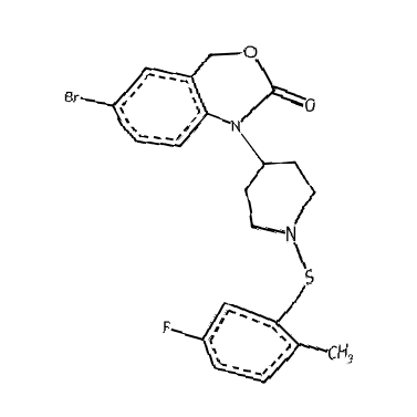 Cc1ccc(F)cc1SN1CCC(N2C(=O)OCc3cc(Br)ccc32)CC1